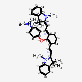 CC(C)N(C)c1ccc(OC2=C(/C=C/C3=[N+](C)c4ccccc4C3(C)C)CCC/C2=C\C=C2\N(C)c3ccccc3C2(C)C)cc1